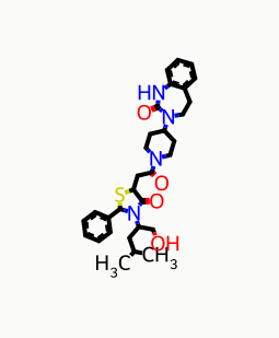 CC(C)CC(CO)N1C(=O)C(CC(=O)N2CCC(N3CCc4ccccc4NC3=O)CC2)SC1c1ccccc1